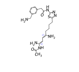 CC(=O)N/C(N)=C/C=C(\N)CCCCc1nnc(NC(=O)Cc2cccc(CN)c2)s1